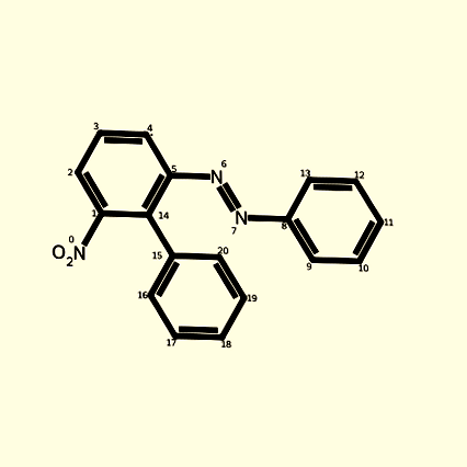 O=[N+]([O-])c1cc[c]c(N=Nc2ccccc2)c1-c1ccccc1